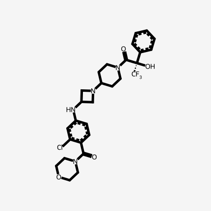 O=C(c1ccc(NC2CN(C3CCN(C(=O)[C@](O)(c4ccccc4)C(F)(F)F)CC3)C2)cc1Cl)N1CCOCC1